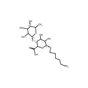 CC1O[C@@H](O[C@H]2C(C(=O)O)O[C@H](OCCCCCN)C(O)C2O)C(O)C(O)[C@H]1O